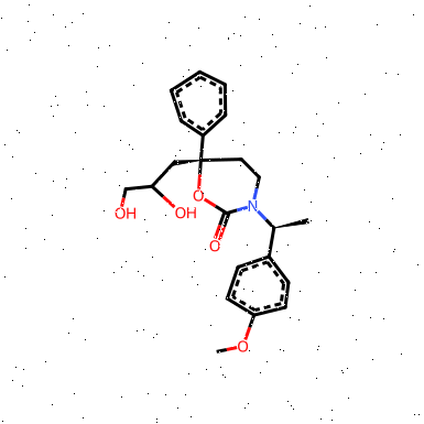 COc1ccc([C@H](C)N2CC[C@@](CC(O)CO)(c3ccccc3)OC2=O)cc1